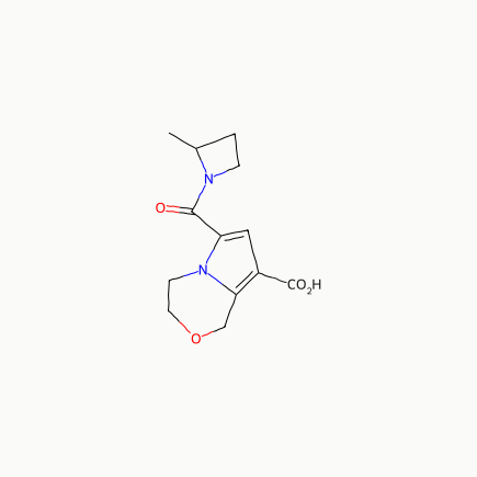 CC1CCN1C(=O)c1cc(C(=O)O)c2n1CCOC2